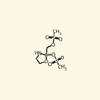 CS(=O)(=O)OC[B-]1(OS(C)(=O)=O)NCCO1